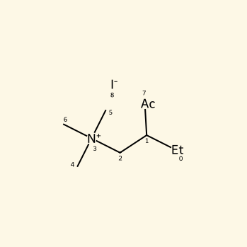 CCC(C[N+](C)(C)C)C(C)=O.[I-]